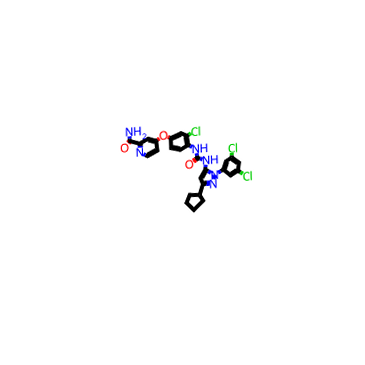 NC(=O)c1cc(Oc2ccc(NC(=O)Nc3cc(C4CCCC4)nn3-c3cc(Cl)cc(Cl)c3)c(Cl)c2)ccn1